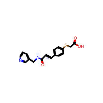 O=C(O)CSc1ccc(/C=C/C(=O)NCc2cccnc2)cc1